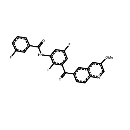 COc1cnc2ccc(C(=O)c3cc(F)cc(NC(=O)c4cccc(F)c4)c3F)cc2c1